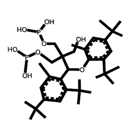 Cc1cc(C(C)(C)C)cc(C(C)(C)C)c1OC(c1c(C)cc(C(C)(C)C)cc1C(C)(C)C)C(CO)(COP(O)O)COP(O)O